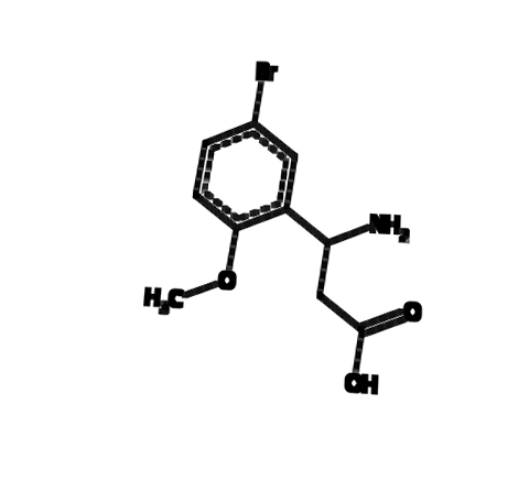 COc1ccc(Br)cc1C(N)CC(=O)O